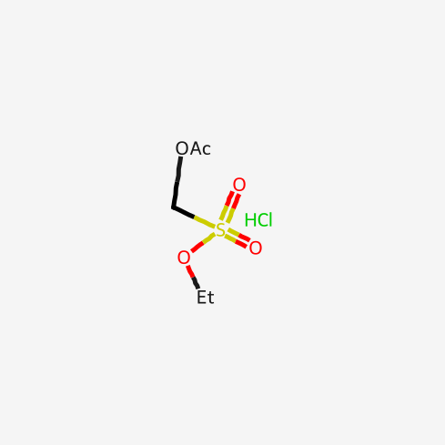 CCOS(=O)(=O)COC(C)=O.Cl